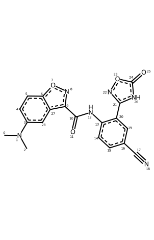 CN(C)c1ccc2onc(C(=O)Nc3ccc(C#N)cc3-c3noc(=O)[nH]3)c2c1